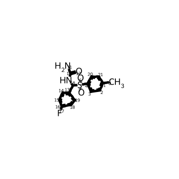 Cc1ccc(S(=O)(=O)C(NC(N)=O)c2ccc(F)cc2)cc1